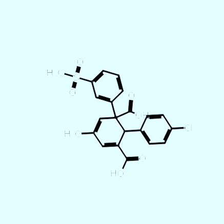 CC1=CC(C(=O)O)(c2cccc(S(C)(=O)=O)c2)C(c2ccc(Cl)cc2)C(C(=O)O)=C1